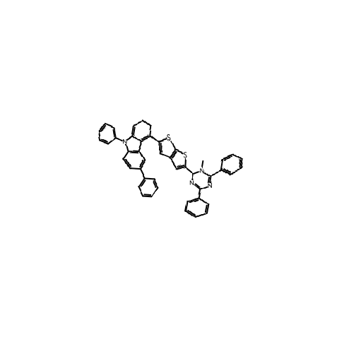 CN1C(c2ccccc2)=NC(c2ccccc2)=NC1c1cc2cc(C3=c4c(n(-c5ccccc5)c5ccc(-c6ccccc6)cc45)=CCC3)sc2s1